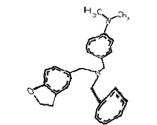 CN(C)c1ccc(CN(Cc2ccccc2)Cc2ccc3c(c2)CCO3)cc1